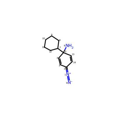 [N-]=[N+]=C1C=CC(N)(C2CCCCC2)C=C1